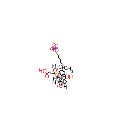 CC(C)(CCCCCCO[N+](=O)[O-])c1cc(O)c([C@H]2CC(=O)[C@H]3C[C@@H]2C3(C)C)c(OC(=O)CCC(=O)O)c1